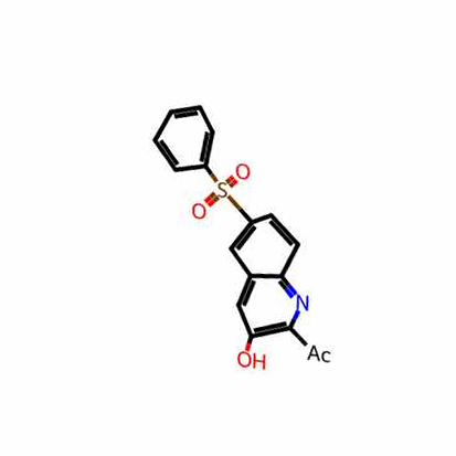 CC(=O)c1nc2ccc(S(=O)(=O)c3ccccc3)cc2cc1O